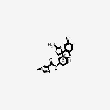 Cn1cnc(C(=O)NC2CC[C@@H]3Oc4ccc(Br)cc4C4(CSC(N)=N4)[C@H]3C2)c1